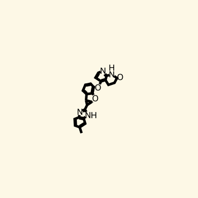 Cc1ccc2nc(C3C4Oc5c(Oc6ccnc7c6CCC(=O)N7)cccc5C43)[nH]c2c1